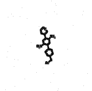 CC(=O)Sc1ccc(-c2cc(N)c(-c3ccccc3)cc2[N+](=O)[O-])cc1